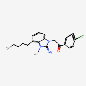 CCCCCc1cccc2c1n(C)c(=N)n2CC(=O)c1ccc(Cl)cc1